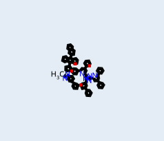 Cc1nc2cc(-c3cccc(-c4cc(-c5ccccc5)cc(-c5nc(-c6cc(-c7ccccc7)cc(-c7ccccc7)n6)nc(-c6cc(-c7ccccc7)cc(-c7ccccc7)n6)n5)c4)c3)ccc2n1-c1ccc(-c2c3ccccc3c(-c3ccc4ccccc4c3)c3ccccc23)cc1